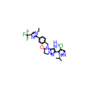 CCn1cc(C(F)(F)F)nc1-c1ccc(CN2C(=O)CCn3nc(-c4c(Cl)cnn4C(C)C)c(N)c32)cc1